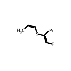 C/C=C\S/C(=C/F)C(C)C